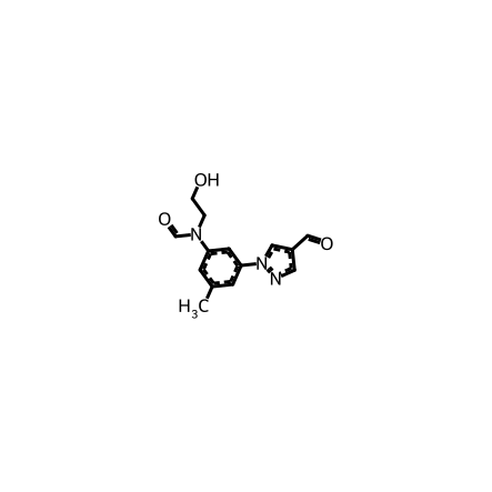 Cc1cc(N(C=O)CCO)cc(-n2cc(C=O)cn2)c1